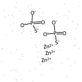 O=P([O-])([O-])[S-].O=P([O-])([O-])[S-].[Zn+2].[Zn+2].[Zn+2]